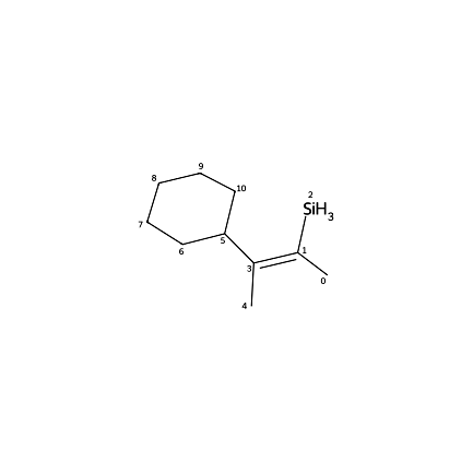 CC([SiH3])=C(C)C1CCCCC1